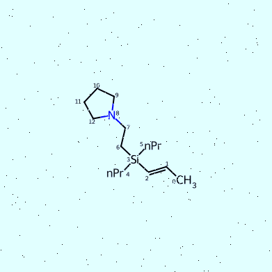 CC=C[Si](CCC)(CCC)CCN1CCCC1